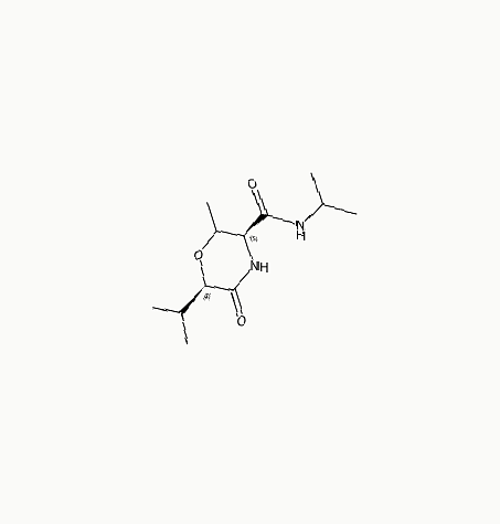 CC(C)NC(=O)[C@H]1NC(=O)[C@@H](C(C)C)OC1C